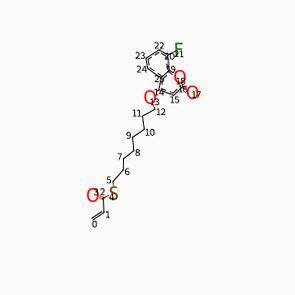 C=CC(=O)SCCCCCCCCOc1cc(=O)oc2c(F)cccc12